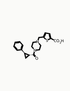 O=C(O)c1ccc(CN2CCN(C(=O)[C@@H]3C[C@H]3c3ccccc3)CC2)s1